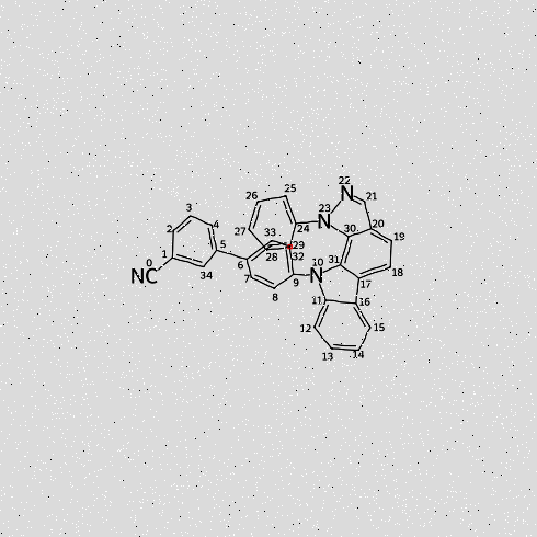 N#Cc1cccc(-c2ccc(-n3c4ccccc4c4ccc5cnn(-c6ccccc6)c5c43)cc2)c1